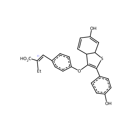 CC/C(=C\c1ccc(OC2=C(c3ccc(O)cc3)SC3C=C(O)C=CC23)cc1)C(=O)O